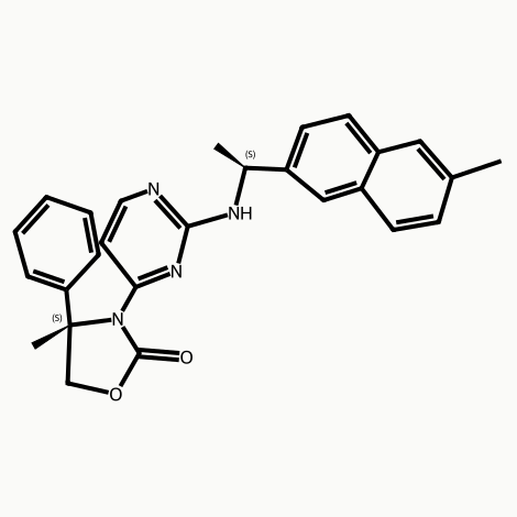 Cc1ccc2cc([C@H](C)Nc3nccc(N4C(=O)OC[C@]4(C)c4ccccc4)n3)ccc2c1